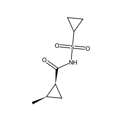 C[C@@H]1C[C@@H]1C(=O)NS(=O)(=O)C1CC1